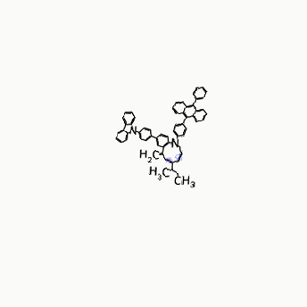 C=C1/C=C(C(C)CC)\C=C/CN(c2ccc(-c3c4ccccc4c(-c4ccccc4)c4ccccc34)cc2)c2ccc(-c3ccc(-n4c5ccccc5c5ccccc54)cc3)cc21